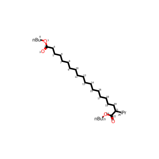 CCCCOC(=O)CCCCCCCCCCCCCCCCCC(C(=O)OCCCC)C(C)C